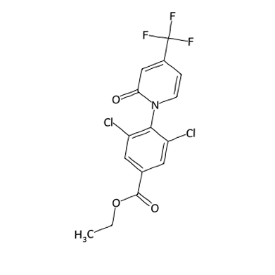 CCOC(=O)c1cc(Cl)c(-n2ccc(C(F)(F)F)cc2=O)c(Cl)c1